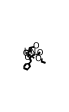 C=CCOC(=O)[C@@H]1N2C(=O)C[C@H]2S(=O)(=O)C1(C)C=Cc1ccccc1